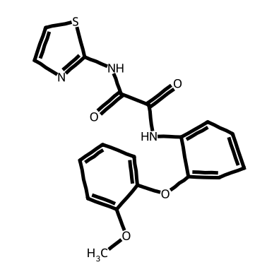 COc1ccccc1Oc1ccccc1NC(=O)C(=O)Nc1nccs1